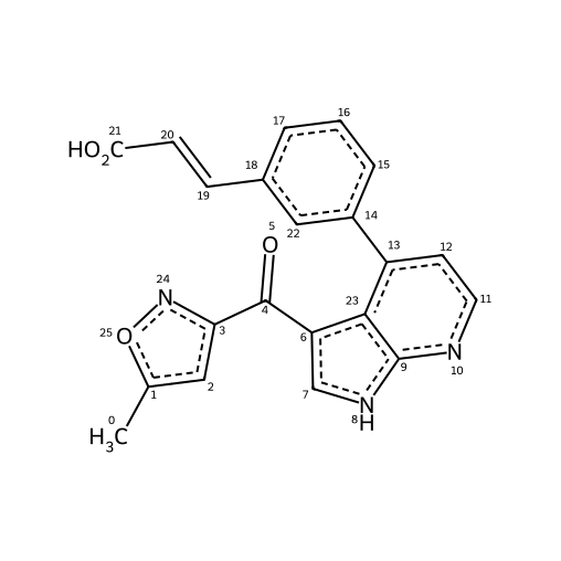 Cc1cc(C(=O)c2c[nH]c3nccc(-c4cccc(C=CC(=O)O)c4)c23)no1